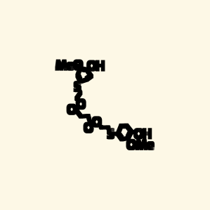 COc1cc(SCCOC(=O)CCC(=O)OCCSc2ccc(O)c(OC)c2)ccc1O